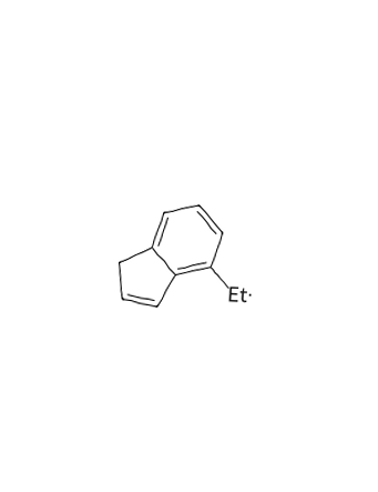 C[CH]c1cccc2c1C=CC2